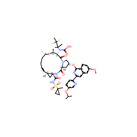 COc1ccc2c(O[C@@H]3C[C@H]4C(=O)N[C@]5(C(=O)NS(=O)(=O)C6(C)CC6)C[C@H]5/C=C\CC[C@H](C)C[C@@H](C)[C@H](N(C(=O)O)C(C)(C)C(C)(F)F)C(=O)N4C3)nc(-c3ccc(OC(C)C)cn3)cc2c1